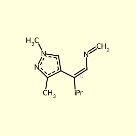 C=N/C=C(\c1cn(C)nc1C)C(C)C